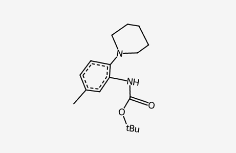 Cc1ccc(N2CCCCC2)c(NC(=O)OC(C)(C)C)c1